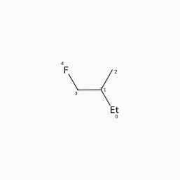 CC[C](C)CF